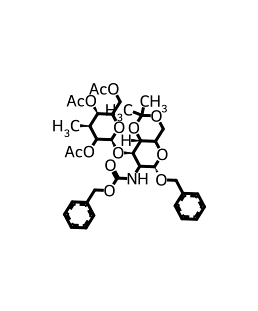 CC(=O)OCC1O[C@@H](O[C@@H]2C(NC(=O)OCc3ccccc3)[C@@H](OCc3ccccc3)OC3COC(C)(C)O[C@H]32)C(OC(C)=O)[C@@H](C)[C@H]1OC(C)=O